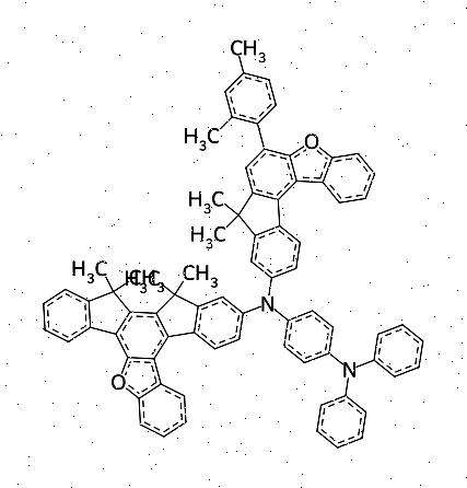 Cc1ccc(-c2cc3c(c4c2oc2ccccc24)-c2ccc(N(c4ccc(N(c5ccccc5)c5ccccc5)cc4)c4ccc5c(c4)C(C)(C)c4c6c(c7oc8ccccc8c7c4-5)-c4ccccc4C6(C)C)cc2C3(C)C)c(C)c1